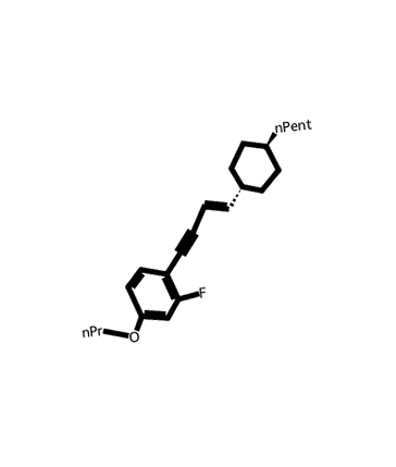 CCCCC[C@H]1CC[C@H](C=CC#Cc2ccc(OCCC)cc2F)CC1